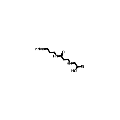 CCCCCCCCCCCCNC(=O)CCNCC(O)CC